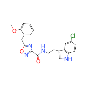 COc1ccccc1Cc1nc(C(=O)NCCc2c[nH]c3ccc(Cl)cc23)no1